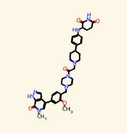 COc1cc(-c2cn(C)c(=O)c3[nH]ncc23)ccc1CN1CCN(C(=O)CN2CCC(c3ccc(NC4CCC(=O)NC4=O)cc3)CC2)CC1